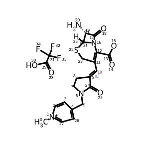 C[n+]1ccc(CN2CC/C(=C\C3=C(C(=O)[O-])N4C(=O)[C@@H](N)[C@H]4SC3)C2=O)cc1.O=C(O)C(F)(F)F